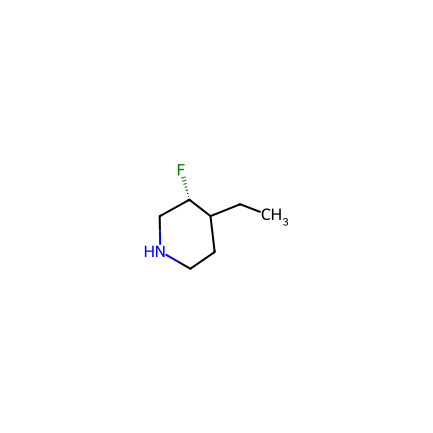 CCC1CCNC[C@@H]1F